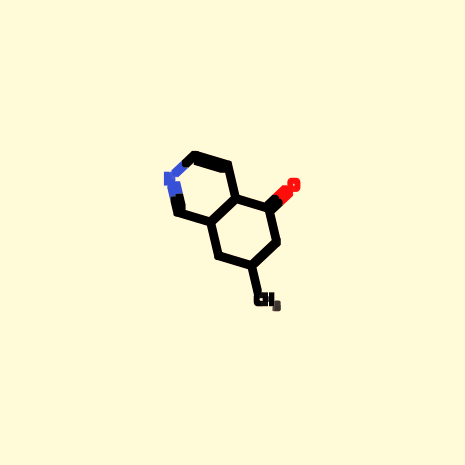 CC1CC(=O)C2C=CN=CC2C1